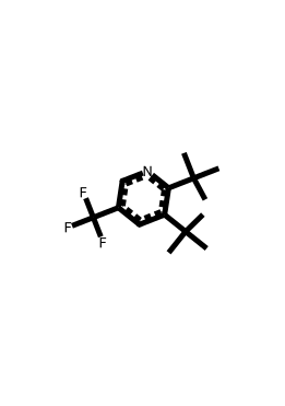 CC(C)(C)c1cc(C(F)(F)F)cnc1C(C)(C)C